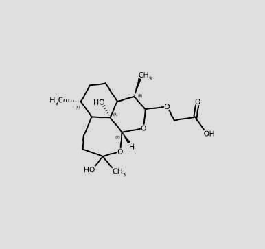 C[C@H]1C(OCC(=O)O)O[C@@H]2OC(C)(O)CCC3[C@H](C)CCC1[C@]32O